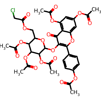 CC(=O)Oc1ccc(-c2oc3cc(OC(C)=O)cc(OC(C)=O)c3c(=O)c2OC2OC(COC(=O)CCl)C(OC(C)=O)C(OC(C)=O)C2OC(C)=O)cc1